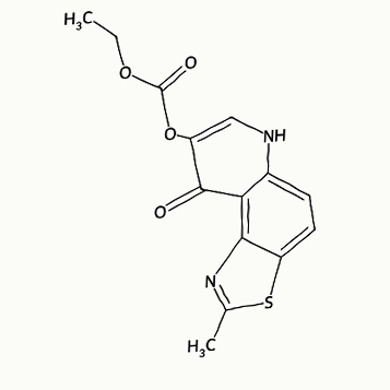 CCOC(=O)Oc1c[nH]c2ccc3sc(C)nc3c2c1=O